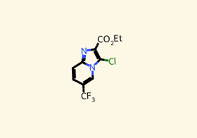 CCOC(=O)c1nc2ccc(C(F)(F)F)cn2c1Cl